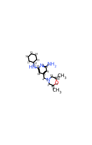 C[C@@H]1CN(Cc2cc(N)nc(NC3CCCCC3)c2)C[C@H](C)O1